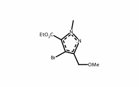 CCOC(=O)c1c(Br)c(COC)nn1C